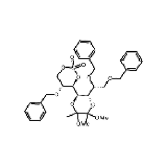 COC1(C)O[C@@H]([C@@H]2OS(=O)(=O)OC[C@H]2OCc2ccccc2)[C@H]([C@@H](COCc2ccccc2)OCc2ccccc2)OC1(C)OC